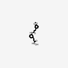 O=C(C=Cc1cccc(NC(=O)C=Cc2ccc3c(c2)OCO3)c1)NO